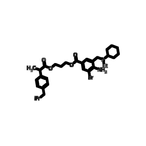 CCN(Cc1cc(C(=O)OCCCOC(=O)C(C)c2ccc(CC(C)C)cc2)cc(Br)c1N)C1CCCCC1